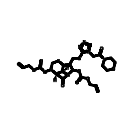 C=CCOC(=O)OC1C(CSc2nnnn2CC(=O)N2CCOCC2)=C2SCN(OC(=O)OCC=C)[C@@H]3C(=O)N1[C@H]23